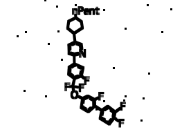 CCCCCC1CCC(c2ccc(-c3ccc(C(F)(F)Oc4ccc(-c5ccc(F)c(F)c5)c(F)c4)c(F)c3)nc2)CC1